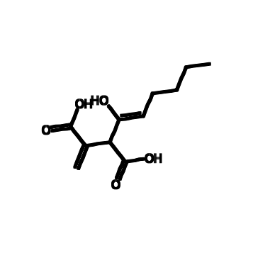 C=C(C(=O)O)C(C(=O)O)C(O)=CCCCC